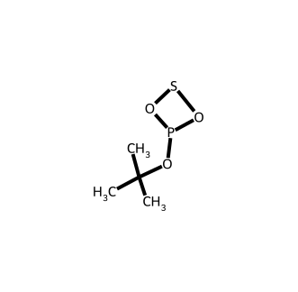 CC(C)(C)OP1OSO1